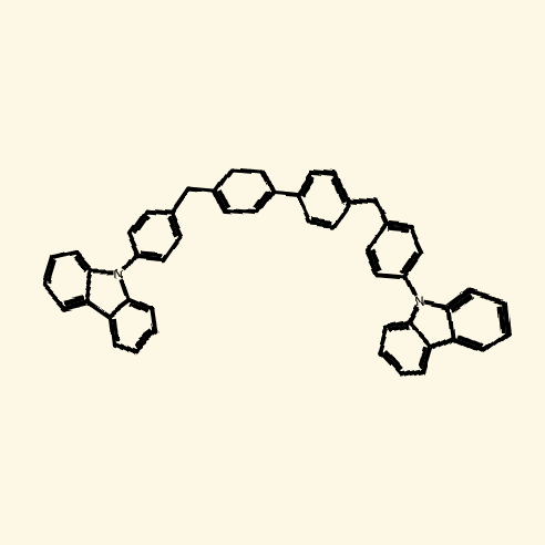 C1=C(Cc2ccc(-n3c4ccccc4c4ccccc43)cc2)CCC(c2ccc(Cc3ccc(-n4c5ccccc5c5ccccc54)cc3)cc2)=C1